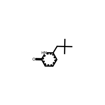 CC(C)(C)Cc1cccc(=O)[nH]1